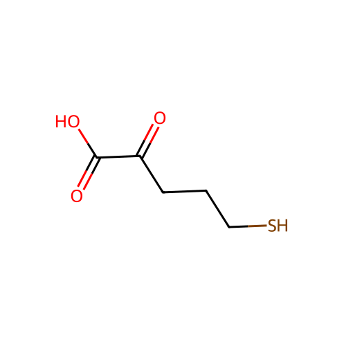 O=C(O)C(=O)CCCS